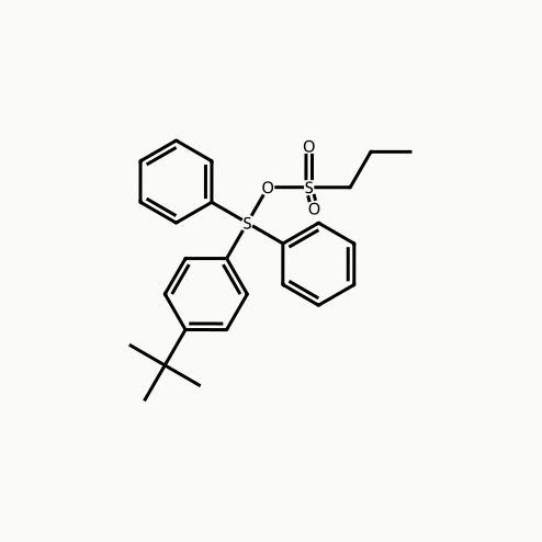 CCCS(=O)(=O)OS(c1ccccc1)(c1ccccc1)c1ccc(C(C)(C)C)cc1